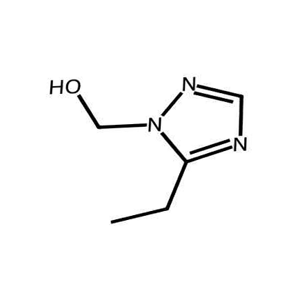 CCc1ncnn1CO